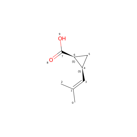 CC(C)=C[C@@H]1C[C@@H]1C(=O)O